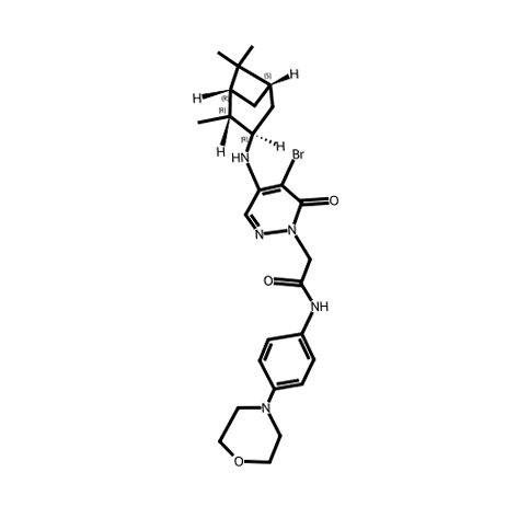 C[C@@H]1[C@H]2C[C@@H](C[C@H]1Nc1cnn(CC(=O)Nc3ccc(N4CCOCC4)cc3)c(=O)c1Br)C2(C)C